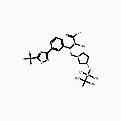 CN(C(=O)O)[C@H](CN1CC[C@H](O[Si](C)(C)C(C)(C)C)C1)c1cccc(-c2noc(C(F)(F)F)n2)c1